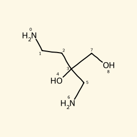 NCCC(O)(CN)CO